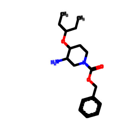 CCC(CC)OC1CCN(C(=O)OCc2ccccc2)CC1N